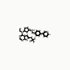 CCN(C1=NC=NC2SC(CC(F)(F)F)=CC12)C1CCC(NCc2ccc(-c3cccnc3)cc2)C1